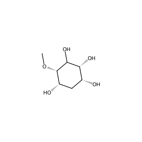 CO[C@@H]1C(O)[C@H](O)[C@H](O)C[C@@H]1O